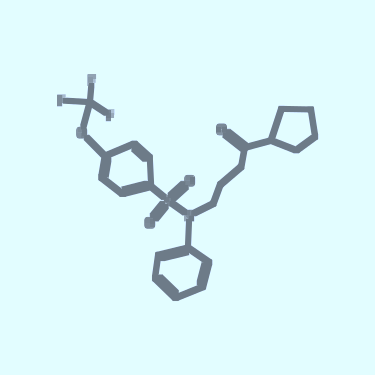 O=C(CCCN(c1ccccc1)S(=O)(=O)c1ccc(OC(F)(F)F)cc1)C1CCCC1